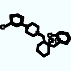 OC1(Cc2ccccc2Cl)CCCCC1CN1CCN(c2cccc(Cl)c2)CC1